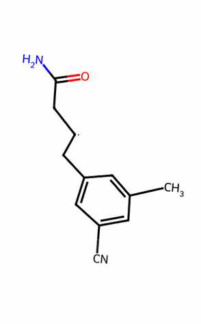 Cc1cc(C#N)cc(C[CH]CC(N)=O)c1